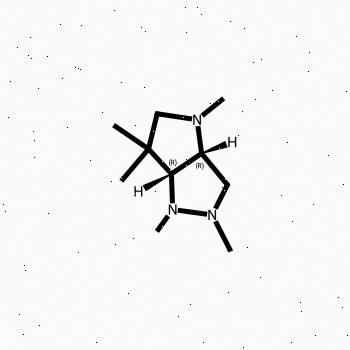 CN1CC(C)(C)[C@@H]2[C@H]1CN(C)N2C